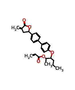 C=CC(=O)OC(C)C(CCC)Oc1ccc(-c2ccc(C3CC(=C)C(=O)O3)cc2)cc1